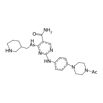 CC(=O)N1CCN(c2ccc(Nc3ncc(C(N)=O)c([AsH]CC4CCCNC4)n3)cc2)CC1